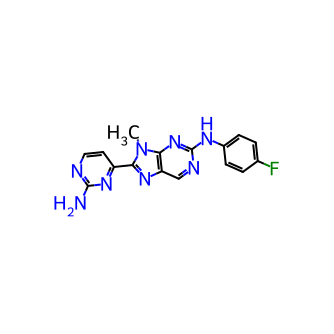 Cn1c(-c2ccnc(N)n2)nc2cnc(Nc3ccc(F)cc3)nc21